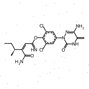 C=C1NC(=O)N(c2cc(Cl)c(OC(=N)/C=C(\C(N)=O)[C@@H](C)CC)c(Cl)c2)N=C1N